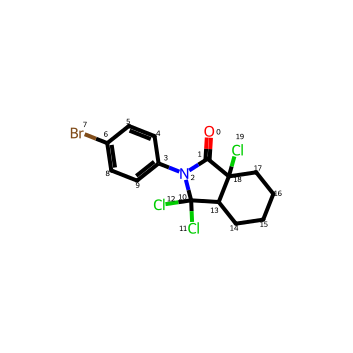 O=C1N(c2ccc(Br)cc2)C(Cl)(Cl)C2CCCCC12Cl